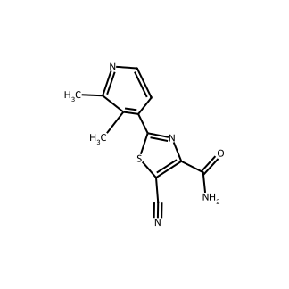 Cc1nccc(-c2nc(C(N)=O)c(C#N)s2)c1C